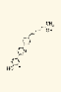 CC(O)CCCC=Cc1ccc(-c2ccc(-c3ccc(O)c(F)c3)cn2)cc1